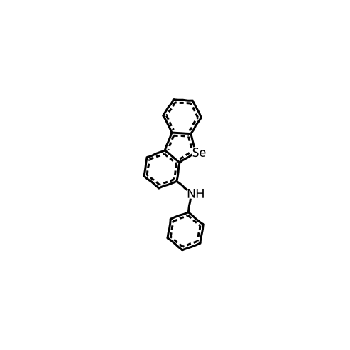 c1ccc(Nc2cccc3c2[se]c2ccccc23)cc1